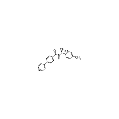 Cc1ccc(C(C)NC(=O)c2ccc(-c3ccncc3)cc2)nc1